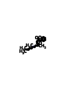 CC(C)=CCC/C(C)=C/CCC1(C)C=Cc2c(c3ccccc3oc2=O)O1